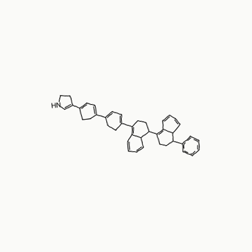 C1=CC2=C(C3=CC=C(C4=CC=C(C5=CNCC5)CC4)CC3)CCC(C3=C4C=CC=CC4C(c4ccccc4)CC3)C2C=C1